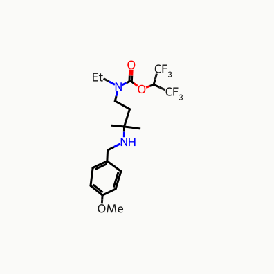 CCN(CCC(C)(C)NCc1ccc(OC)cc1)C(=O)OC(C(F)(F)F)C(F)(F)F